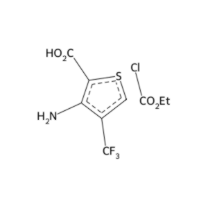 CCOC(=O)Cl.Nc1c(C(F)(F)F)csc1C(=O)O